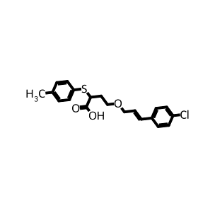 Cc1ccc(SC(CCOCC=Cc2ccc(Cl)cc2)C(=O)O)cc1